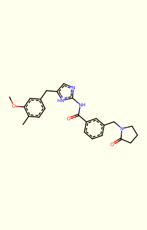 COc1cc(Cc2cnc(NC(=O)c3cccc(CN4CCCC4=O)c3)[nH]2)ccc1C